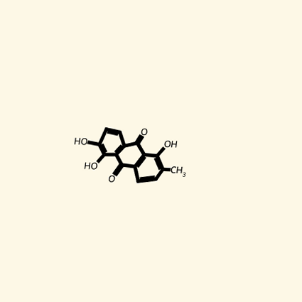 Cc1ccc2c(c1O)C(=O)c1ccc(O)c(O)c1C2=O